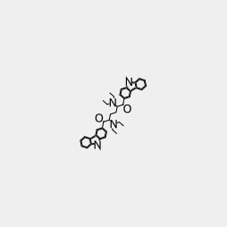 CCN(CC)C(CCC(C(=O)c1ccc2c(c1)c1ccccc1n2C)N(CC)CC)C(=O)c1ccc2c(c1)c1ccccc1n2C